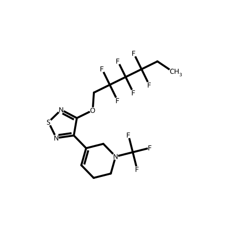 CCC(F)(F)C(F)(F)C(F)(F)COc1nsnc1C1=CCCN(C(F)(F)F)C1